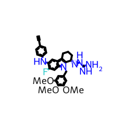 C#Cc1ccc(Nc2cc3c4c(n(Cc5cc(OC)c(OC)c(OC)c5)c3cc2F)/C(=N/NC(=N)N)CCC4)cc1